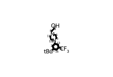 CC(C)(C)c1cc(N2CCN(CCO)CC2)cc(C(F)(F)F)c1